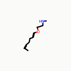 C/C=C\CC/C=C/OCCNC